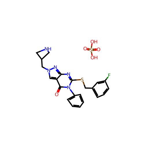 O=S(=O)(O)O.O=c1c2cn(CC3CNC3)nc2nc(SCc2cccc(F)c2)n1-c1ccccc1